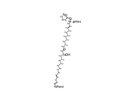 CCCCCC=CCC=CCCCCCCCCC(O)COCCCCCCCCC=CC[C@@H](CCCCCC)OC1CCCCO1